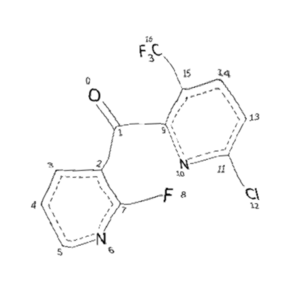 O=C(c1cccnc1F)c1nc(Cl)ccc1C(F)(F)F